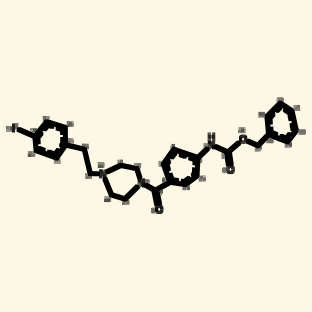 O=C(Nc1ccc(C(=O)N2CCN(CCc3ccc(F)cc3)CC2)cc1)OCc1ccccc1